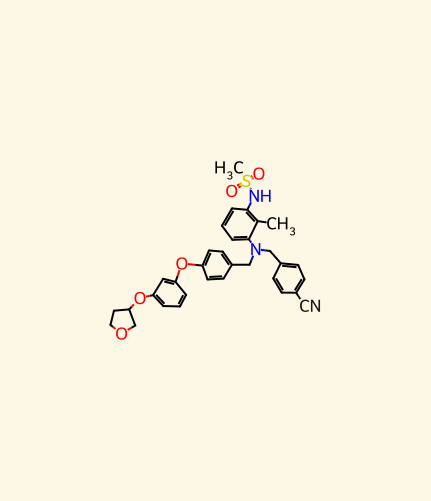 Cc1c(NS(C)(=O)=O)cccc1N(Cc1ccc(C#N)cc1)Cc1ccc(Oc2cccc(OC3CCOC3)c2)cc1